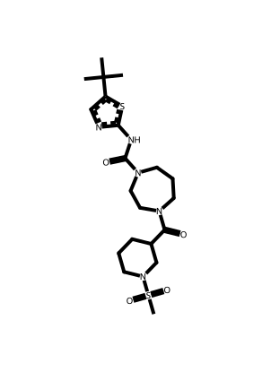 CC(C)(C)c1cnc(NC(=O)N2CCCN(C(=O)C3CCCN(S(C)(=O)=O)C3)CC2)s1